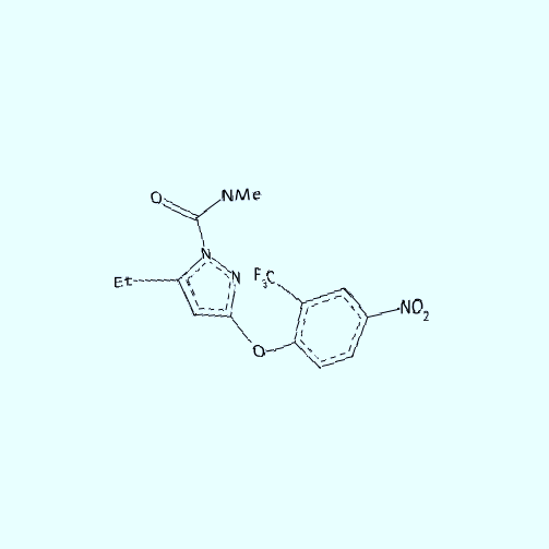 CCc1cc(Oc2ccc([N+](=O)[O-])cc2C(F)(F)F)nn1C(=O)NC